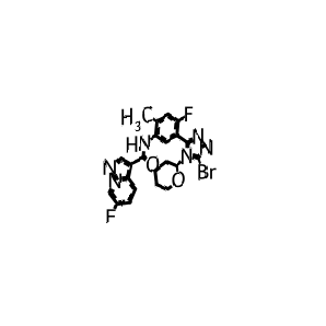 Cc1cc(F)c(-c2nnc(Br)n2C2CCCCO2)cc1NC(=O)c1cnn2cc(F)ccc12